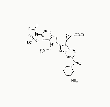 CCOC(=O)C1CC1c1c(-c2cc3ccc(N(C(F)F)S(C)(=O)=O)nc3n2CC2CC2)nc2cc(C(=O)N3CCC[C@@H](N)C3)ccn12